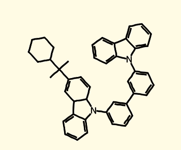 CC(C)(C1=CC2c3ccccc3N(c3cccc(-c4cccc(-n5c6ccccc6c6ccccc65)c4)c3)C2C=C1)C1CCCCC1